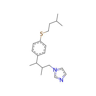 CC(C)CCSc1ccc(C(C)C(C)Cn2ccnc2)cc1